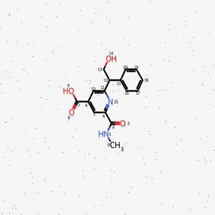 CNC(=O)c1cc(C(=O)O)cc(C(CO)c2ccccc2)n1